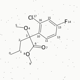 CCCC(OC)(C(=O)OC)c1ccc(F)cc1Cl